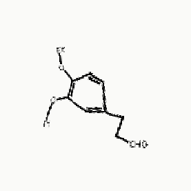 CCOc1ccc(CC[C]=O)cc1OCC